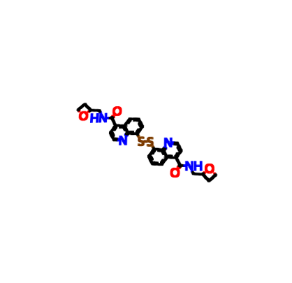 O=C(NCC1CCO1)c1ccnc2c(SSc3cccc4c(C(=O)NCC5CCO5)ccnc34)cccc12